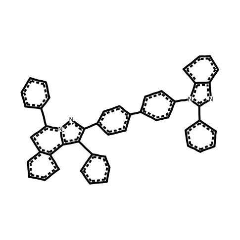 c1ccc(-c2c(-c3ccc(-c4ccc(-n5c(-c6ccccc6)nc6ccccc65)cc4)cc3)nn3c(-c4ccccc4)cc4ccccc4c23)cc1